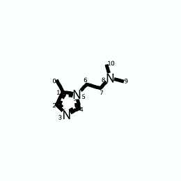 Cc1cncn1CCN(C)C